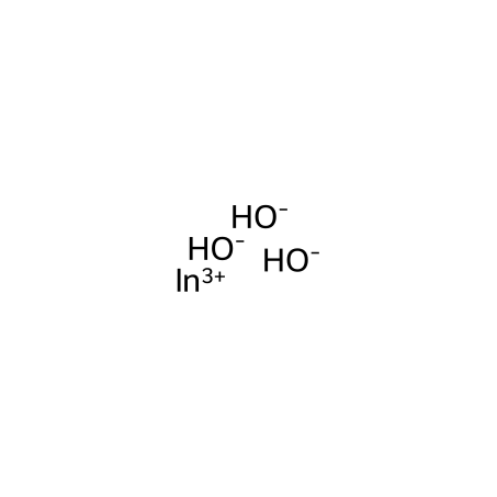 [In+3].[OH-].[OH-].[OH-]